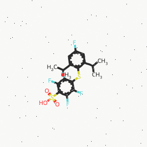 CC(C)c1cc(F)cc(C(C)C)c1Sc1c(F)c(F)c(S(=O)(=O)O)c(F)c1F